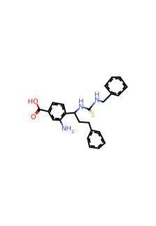 Nc1cc(C(=O)O)ccc1C(CCc1ccccc1)NC(=S)NCc1ccccc1